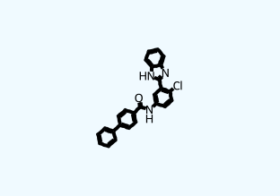 O=C(Nc1ccc(Cl)c(-c2nc3ccccc3[nH]2)c1)c1ccc(-c2ccccc2)cc1